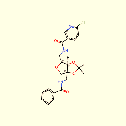 CC1(C)O[C@@H]2[C@@H](CNC(=O)c3ccc(Cl)nc3)OC[C@]2(CNC(=O)c2ccccc2)O1